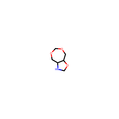 C1OCC2NCOC2CO1